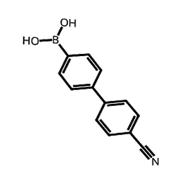 N#Cc1ccc(-c2ccc(B(O)O)cc2)cc1